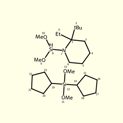 CCC1(C(C)(C)C)CCCCN1[SiH](OC)OC.CO[Si](OC)(C1CCCC1)C1CCCC1